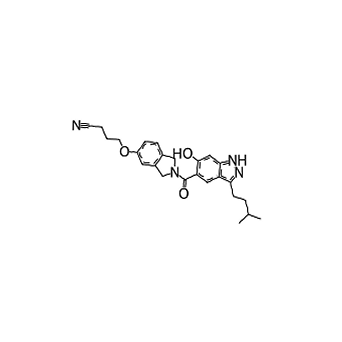 CC(C)CCc1n[nH]c2cc(O)c(C(=O)N3Cc4ccc(OCCCC#N)cc4C3)cc12